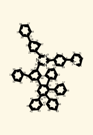 c1ccc(-c2ccc(-c3nc(-c4ccc(-c5ccccc5)cc4)nc(-c4cc(-c5ccccc5)cc(-c5cc(-c6ccccc6)c(-c6ccccc6)c(-c6ccccc6)c5-c5ccccc5)c4)n3)cc2)cc1